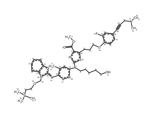 COC(=O)c1nc(N(CCCCCO)c2cc(C)c(/N=c3\sc4ccccc4n3COCC[Si](C)(C)C)nn2)sc1CCCOc1ccc(C#CCN(C)C)cc1F